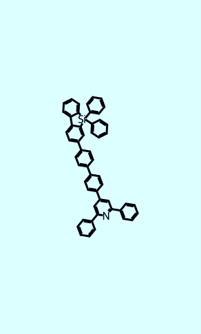 c1ccc(-c2cc(-c3ccc(-c4ccc(-c5ccc6c(c5)[Si](c5ccccc5)(c5ccccc5)c5ccccc5-6)cc4)cc3)cc(-c3ccccc3)n2)cc1